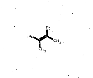 CC/C(C)=C(/C)C(C)C